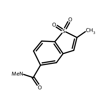 CNC(=O)c1ccc2c(c1)C=C(C)S2(=O)=O